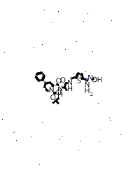 CC(NC(=O)[C@H]1C[C@@H](c2ccccc2)CCN1C(=O)OC(C)(C)C)C(=O)NCc1ccc(/C(N)=N/O)s1